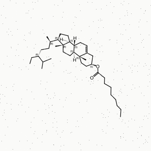 CCCCCCCCC(=O)O[C@H]1CC[C@@]2(C)C(=CC[C@H]3[C@@H]4CC[C@H]([C@H](C)CC[C@@H](CC)C(C)C)[C@@]4(C)CC[C@@H]32)C1